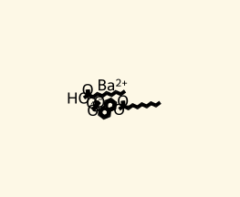 CCCCCCCCC(=O)O.CCCCCCCCC(=O)[O-].O=S(=O)([O-])c1cccc2ccccc12.[Ba+2]